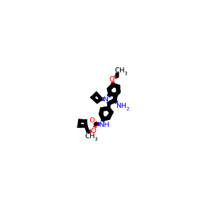 CCOc1ccc2c(N)c(-c3ccc(NC(=O)OC(C)C4CCC4)cc3)n(C3CCC3)c2c1